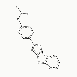 FC(F)Oc1ccc(-c2cn3c(n2)sc2ccccc23)cc1